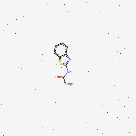 CCCCCCCC(=O)Nc1nc2ccccc2s1